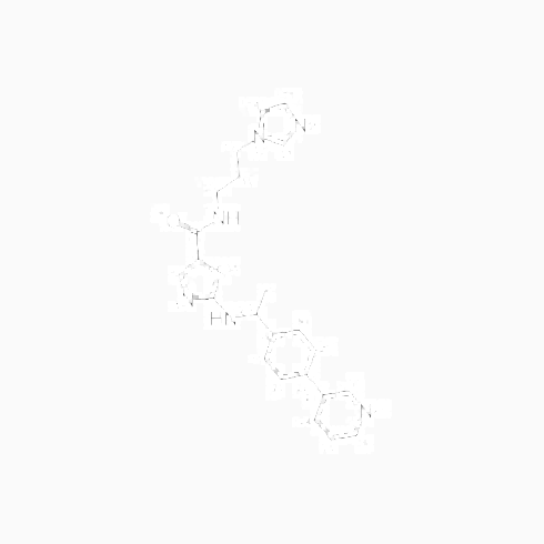 CC(Nc1ncc(C(=O)NCCCn2ccnc2)s1)c1ccc(-c2cccnc2)cc1